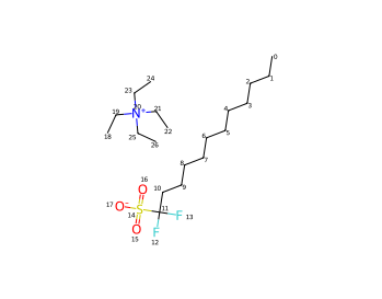 CCCCCCCCCCCC(F)(F)S(=O)(=O)[O-].CC[N+](CC)(CC)CC